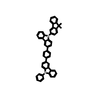 CC1(C)c2ccccc2-c2cc(-n3c4ccccc4c4cc(-c5ccc(-c6ccc7c(c6)c6ccccc6n7-c6ccccc6)cc5)ccc43)ccc21